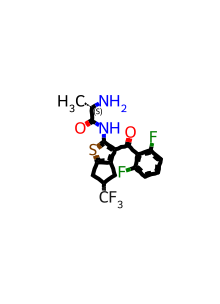 C[C@H](N)C(=O)Nc1sc2c(c1C(=O)c1c(F)cccc1F)CC(C(F)(F)F)C2